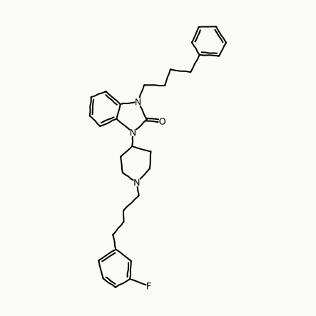 O=c1n(CCCCc2ccccc2)c2ccccc2n1C1CCN(CCCCc2cccc(F)c2)CC1